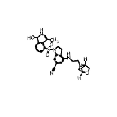 CC1=CNC(O)c2cccc(S(=O)(=O)N3CCc4c(NCCN5C[C@@H]6C[C@H]5CO6)cc(C#N)cc43)c21